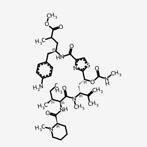 C=C(C)[C@@H](C[C@@H](OC(=O)NC)c1nc(C(=O)N[C@@H](Cc2ccc(N)cc2)CC(C)C(=O)OC)cs1)N(C)C(=O)[C@@H](NC(=O)[C@H]1CCCCN1C)[C@@H](C)CC